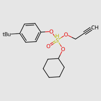 C#CCO[SH](=O)(Oc1ccc(C(C)(C)C)cc1)OC1CCCCC1